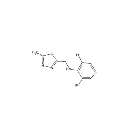 CCc1cccc(C(C)C)c1NCc1nnc(C)s1